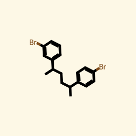 CC(CCC(C)c1cccc(Br)c1)c1ccc(Br)cc1